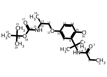 CCC(=O)NC(C)(C)c1cc(OC[C@H](C)NC(=O)OC(C)(C)C)ccc1Cl